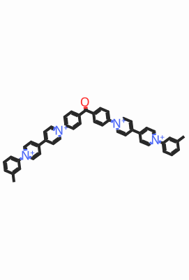 Cc1cccc(-[n+]2ccc(-c3cc[n+](-c4ccc(C(=O)c5ccc(-[n+]6ccc(-c7cc[n+](-c8cccc(C)c8)cc7)cc6)cc5)cc4)cc3)cc2)c1